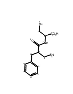 O=C(N[C@@H](CS)C(=O)O)C(CS)Cc1ccccc1